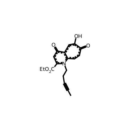 CC#CCCn1c(C(=O)OCC)cc(=O)c2cc(O)c(=O)ccc21